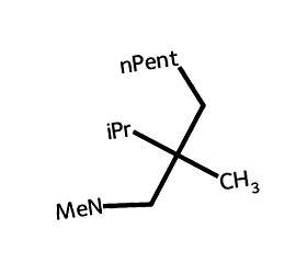 CCCCCCC(C)(CNC)C(C)C